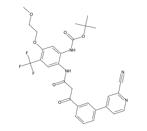 COCCOc1cc(NC(=O)OC(C)(C)C)c(NC(=O)CC(=O)c2cccc(-c3ccnc(C#N)c3)c2)cc1C(F)(F)F